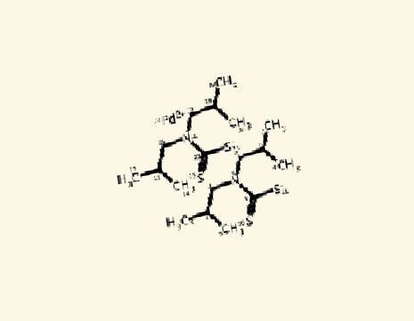 CC(C)CN(CC(C)C)C(=S)[S-].CC(C)CN(CC(C)C)C(=S)[S-].[Pd+2]